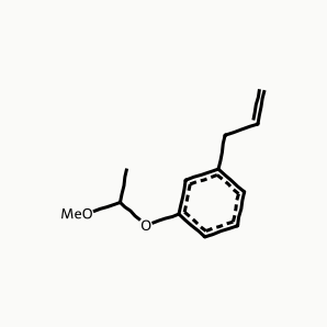 C=CCc1cccc(OC(C)OC)c1